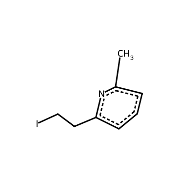 Cc1cccc(CCI)n1